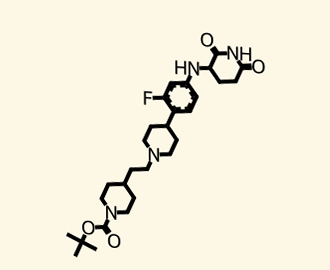 CC(C)(C)OC(=O)N1CCC(CCN2CCC(c3ccc(NC4CCC(=O)NC4=O)cc3F)CC2)CC1